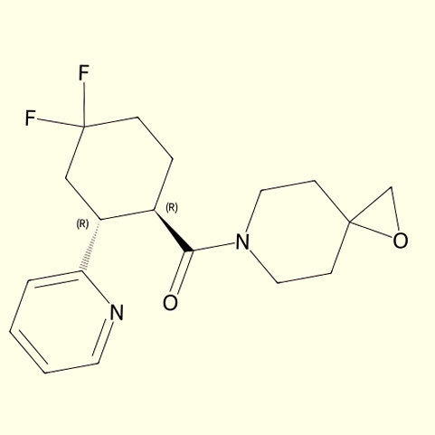 O=C([C@@H]1CCC(F)(F)C[C@H]1c1ccccn1)N1CCC2(CC1)CO2